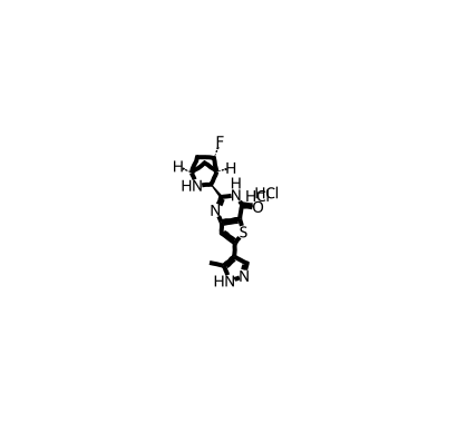 Cc1[nH]ncc1-c1cc2nc([C@H]3N[C@@H]4C[C@H]3[C@@H](F)C4)[nH]c(=O)c2s1.Cl.Cl